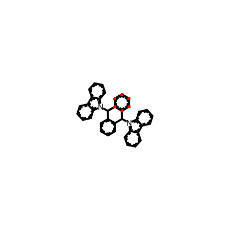 c1ccc2c(c1)C1(n3c4ccccc4c4ccccc43)c3ccccc3C2(n2c3ccccc3c3ccccc32)c2ccccc21